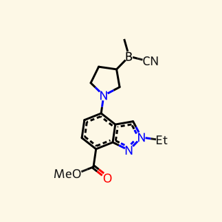 CCn1cc2c(N3CCC(B(C)C#N)C3)ccc(C(=O)OC)c2n1